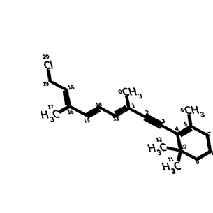 CC(C#CC1=C(C)CCCC1(C)C)=CC=CC(C)=CCCl